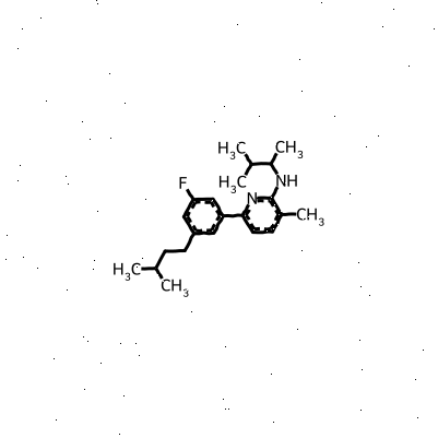 Cc1ccc(-c2cc(F)cc(CCC(C)C)c2)nc1NC(C)C(C)C